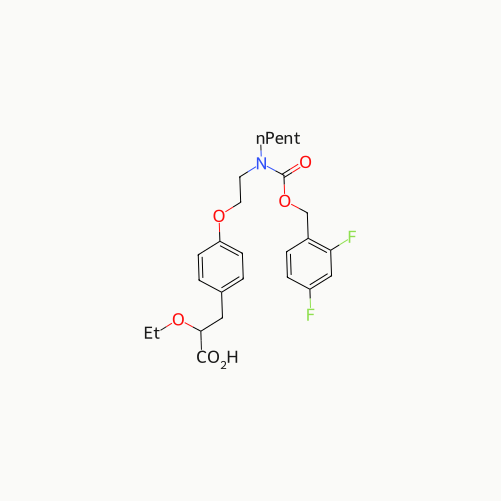 CCCCCN(CCOc1ccc(CC(OCC)C(=O)O)cc1)C(=O)OCc1ccc(F)cc1F